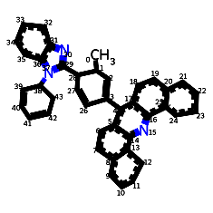 CC1C=C(c2c3ccc4ccccc4c3nc3c2ccc2ccccc23)C=CC1c1nc2ccccc2n1C1C=CC=CC1